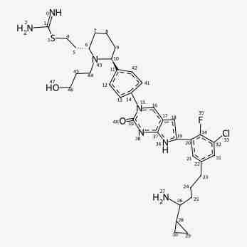 N=C(N)SCC[C@@H]1CCC[C@@H](c2ccc(-n3cc4cc(-c5cc(CCCC(N)C6CC6)cc(Cl)c5F)[nH]c4nc3=O)cc2)N1CCCO